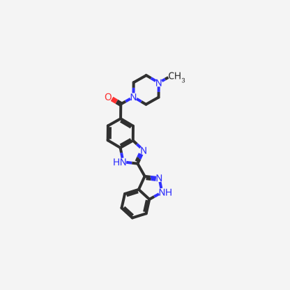 CN1CCN(C(=O)c2ccc3[nH]c(-c4n[nH]c5ccccc45)nc3c2)CC1